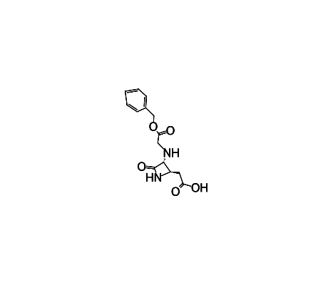 O=C(O)C[C@H]1NC(=O)[C@@H]1NCC(=O)OCc1ccccc1